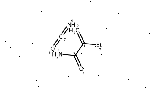 C=C(CC)C(N)=O.N=C=O